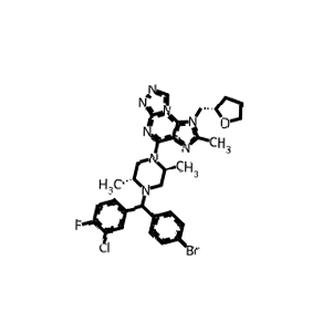 Cc1nc2c(N3C[C@@H](C)N(C(c4ccc(Br)cc4)c4ccc(F)c(Cl)c4)C[C@@H]3C)nc3nncn3c2n1C[C@@H]1CCCO1